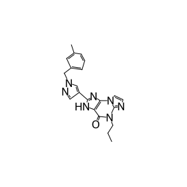 CCCn1c(=O)c2[nH]c(-c3cnn(Cc4cccc(C)c4)c3)nc2n2ccnc12